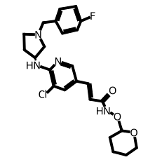 O=C(/C=C/c1cnc(N[C@@H]2CCN(Cc3ccc(F)cc3)C2)c(Cl)c1)NOC1CCCCO1